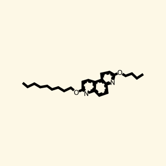 CCCCCCCCCOc1ccc2c(ccc3nc(OCCCC)ccc32)n1